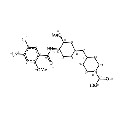 COc1cc(N)c(Cl)cc1C(=O)N[C@@H]1CCN(CC2CCN(C(=O)C(C)(C)C)CC2)C[C@@H]1OC